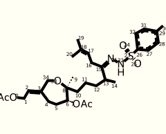 CC(=O)OC/C=C1\CC[C@@H](OC(C)=O)[C@](C)(CCCC(C)/C(CC=C(C)C)=N\NS(=O)(=O)c2ccc(C)cc2)OC1